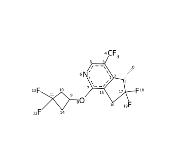 C[C@H]1c2c(C(F)(F)F)cnc(OC3CC(F)(F)C3)c2CC1(F)F